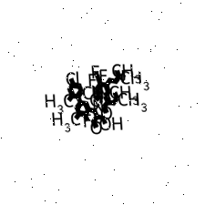 Cc1cc(-c2c(C)cc(Cl)cc2C)cc([C@@H](NC(=O)C(CC(C)C)n2cc(CCN(C)C)c(C(F)(F)F)cc2=O)C(C=O)CO)c1F